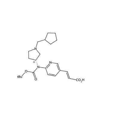 CC(C)(C)OC(=O)N(c1ccc(C=CC(=O)O)cn1)[C@@H]1CCN(CC2CCCC2)C1